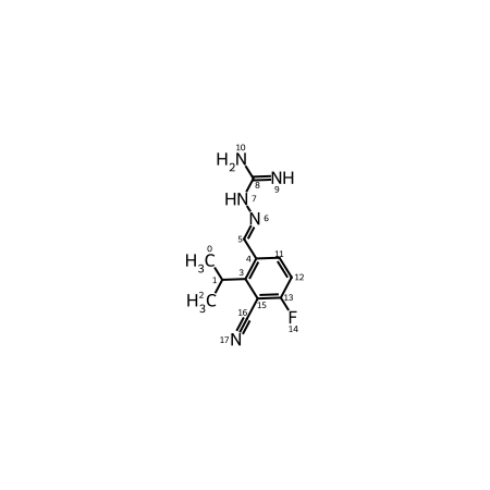 CC(C)c1c(C=NNC(=N)N)ccc(F)c1C#N